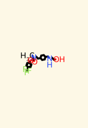 CN(CCC1CCC(CNCCO)CC1)C(=O)Oc1ccc(C(F)(F)F)cc1